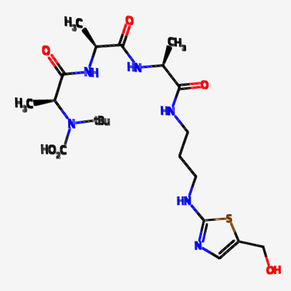 C[C@H](NC(=O)[C@H](C)NC(=O)[C@H](C)N(C(=O)O)C(C)(C)C)C(=O)NCCCNc1ncc(CO)s1